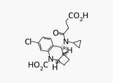 O=C(O)CCC(=O)N(C1CC1)[C@H]1c2ccc(Cl)cc2N(C(=O)O)[C@H]2CC[C@H]21